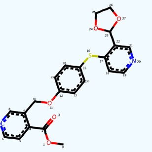 COC(=O)c1ccncc1COc1ccc(Sc2ccncc2C2OCCO2)cc1